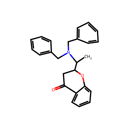 CC(C1CC(=O)c2ccccc2O1)N(Cc1ccccc1)Cc1ccccc1